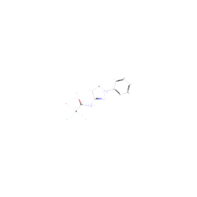 O=C(NC1=NN(c2ccccc2)CC1)C(F)(F)F